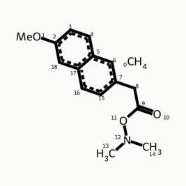 C.COc1ccc2cc(CC(=O)ON(C)C)ccc2c1